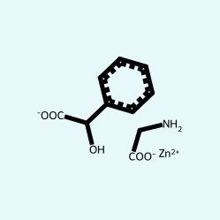 NCC(=O)[O-].O=C([O-])C(O)c1ccccc1.[Zn+2]